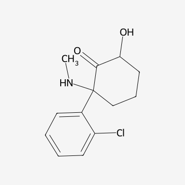 CNC1(c2ccccc2Cl)CCCC(O)C1=O